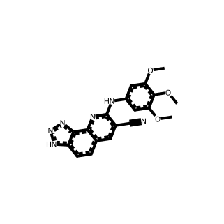 COc1cc(Nc2nc3c(ccc4[nH]nnc43)cc2C#N)cc(OC)c1OC